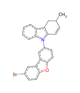 CC1C=Cc2c(c3ccccc3n2-c2ccc3oc4ccc(Br)cc4c3c2)C1